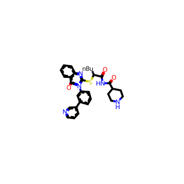 CCCCC(Sc1nc2ccccc2c(=O)n1-c1cccc(-c2cccnc2)c1)C(=O)NC(=O)C1CCNCC1